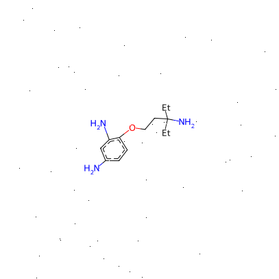 CCC(N)(CC)CCOc1ccc(N)cc1N